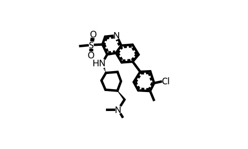 Cc1ccc(-c2ccc3ncc(S(C)(=O)=O)c(N[C@H]4CC[C@H](CN(C)C)CC4)c3c2)cc1Cl